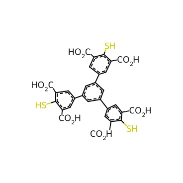 O=C(O)c1cc(-c2cc(-c3cc(C(=O)O)c(S)c(C(=O)O)c3)cc(-c3cc(C(=O)O)c(S)c(C(=O)O)c3)c2)cc(C(=O)O)c1S